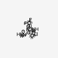 O=c1[nH]ncn1CCOc1nc(Oc2ccc(F)cc2F)nc2[nH]nc(-c3ccccc3Cl)c12